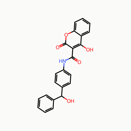 O=C(Nc1ccc(C(O)c2ccccc2)cc1)c1c(O)c2ccccc2oc1=O